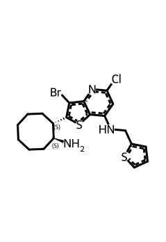 N[C@H]1CCCCCC[C@@H]1c1sc2c(NCc3cccs3)cc(Cl)nc2c1Br